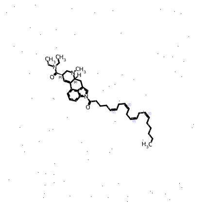 CCCCC/C=C\C/C=C\C/C=C\C/C=C\CCCC(=O)n1cc2c3c(cccc31)C1=C[C@@H](C(=O)N(CC)CC)CN(C)[C@@H]1C2